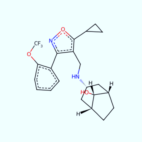 O[C@H]1[C@@H]2CC[C@H]1C[C@@H](NCc1c(-c3ccccc3OC(F)(F)F)noc1C1CC1)C2